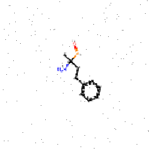 CC(N)(CCc1ccccc1)P=O